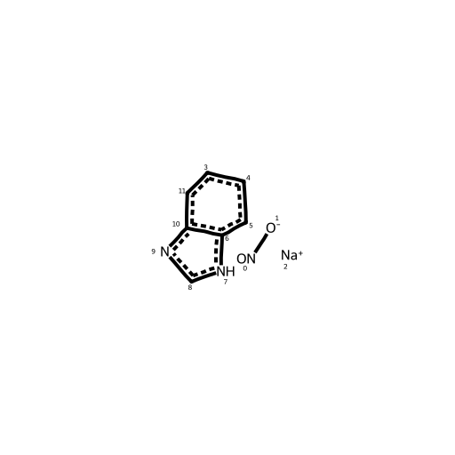 O=N[O-].[Na+].c1ccc2[nH]cnc2c1